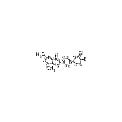 Cc1cc(C)nc(NC(=S)N2CCN(c3ccc(F)c(Cl)c3)CC2)c1